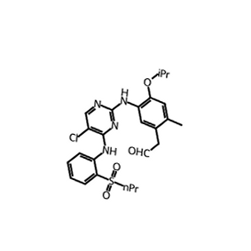 CCCS(=O)(=O)c1ccccc1Nc1nc(Nc2cc(CC=O)c(C)cc2OC(C)C)ncc1Cl